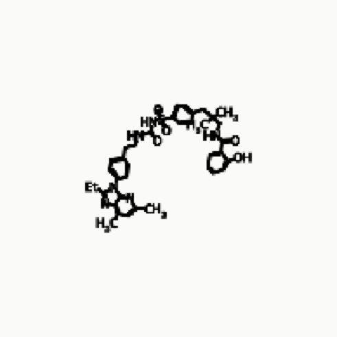 CCc1nc2c(C)cc(C)nc2n1-c1ccc(CCNC(=O)NS(=O)(=O)c2ccc(CC(C)(C)CNC(=O)c3ccccc3O)cc2)cc1